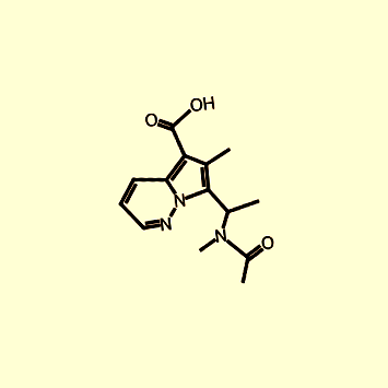 CC(=O)N(C)C(C)c1c(C)c(C(=O)O)c2cccnn12